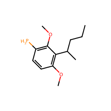 CCCC(C)c1c(OC)ccc(P)c1OC